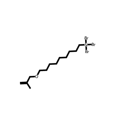 C=C(C)COCCCCCCCCC[Si](Br)(Br)Br